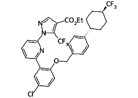 CCOC(=O)c1cnn(-c2cccc(-c3cc(Cl)ccc3OCc3ccc([C@H]4CC[C@H](C(F)(F)F)CC4)cc3)n2)c1C(F)(F)F